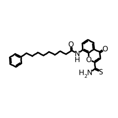 NC(=S)c1cc(=O)c2cccc(NC(=O)CCCCCCCCc3ccccc3)c2o1